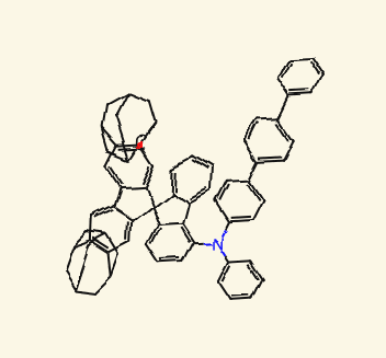 c1ccc(-c2ccc(-c3ccc(N(c4ccccc4)c4cccc5c4-c4ccccc4C54c5cc6c(cc5-c5cc7c(cc54)C4CC5CC(CC7C5)C4)C4CC5CC(C4)CC6C5)cc3)cc2)cc1